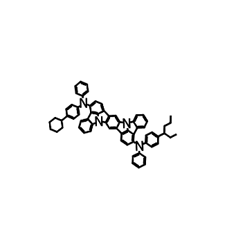 CCCC(CC)c1ccc(N(c2ccccc2)c2ccc3c4cc5c(cc4n4c6ccccc6c2c34)c2ccc(N(c3ccccc3)c3ccc(C4CCCCC4)cc3)c3c4ccccc4n5c23)cc1